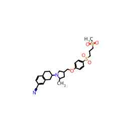 CC1CC(COc2ccc(S(=O)(=O)CCCS(C)(=O)=O)cc2)CN1C1CCc2ccc(C#N)cc2C1